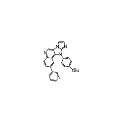 CC(C)(C)c1ccc(-n2c3c4cc(-c5cccnc5)ccc4ncc3n3ccnc23)cc1